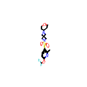 Cc1nc(OC(F)F)ccc1S(=O)(=O)N1CC2(CN(C3CCOCC3)C2)C1